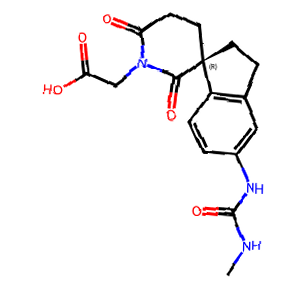 CNC(=O)Nc1ccc2c(c1)CC[C@@]21CCC(=O)N(CC(=O)O)C1=O